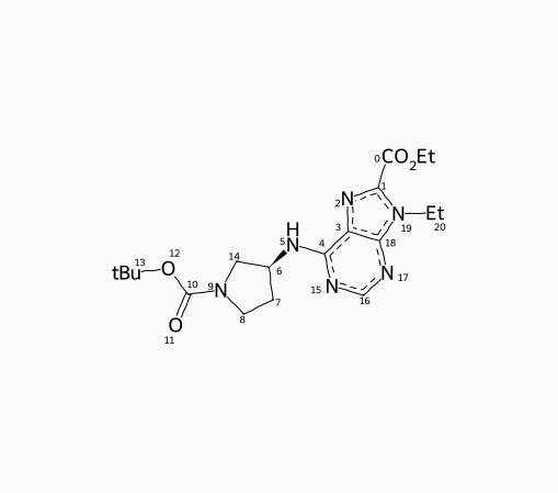 CCOC(=O)c1nc2c(N[C@H]3CCN(C(=O)OC(C)(C)C)C3)ncnc2n1CC